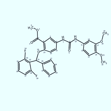 COC(=O)c1cc(NC(=O)Nc2ccc(OC)c(OC)c2)ccc1OC(c1ccccc1)c1c(F)cccc1F